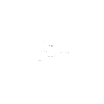 CCCC(CCO)NC(=O)O